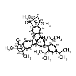 CC(C)c1cc(C(C)C)c(-c2cc3c4cc5c(cc4n4c6cc7c(cc6c(c2)c34)C2(C)CC(C)(C2)C7=O)C(=O)C2(C)CC5(C)C2)c(C(C)C)c1